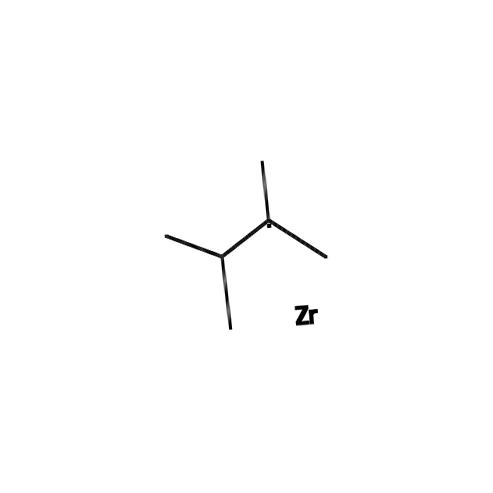 C[C](C)C(C)C.[Zr]